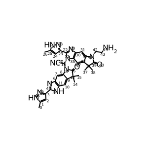 Cc1cc(-c2nc3cc4c(cc3[nH]2)C(C)(C)C(=O)N4C(C#N)n2c(-c3cc(C)[nH]n3)nc3cc4c(cc32)C(C)(C)C(=O)N4CCN)n[nH]1